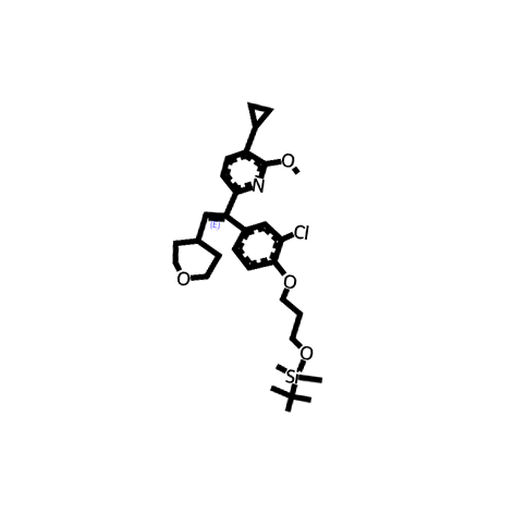 COc1nc(/C(=C/C2CCOCC2)c2ccc(OCCCO[Si](C)(C)C(C)(C)C)c(Cl)c2)ccc1C1CC1